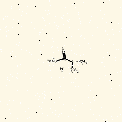 COC(=O)[C@H](C)N.[H+]